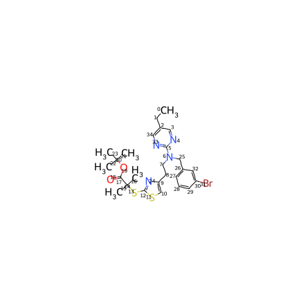 CCc1cnc(N(CCc2csc(SC(C)(C)C(=O)OC(C)(C)C)n2)Cc2cccc(Br)c2)nc1